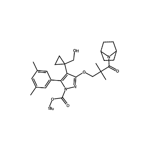 Cc1cc(C)cc(-c2c(C3(CO)CC3)c(OCC(C)(C)C(=O)N3C4CCC3CC4)nn2C(=O)OC(C)(C)C)c1